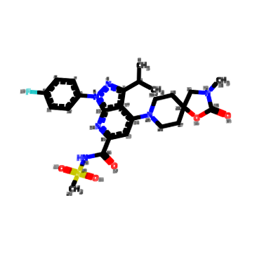 CC(C)c1nn(-c2ccc(F)cc2)c2nc(C(=O)NS(C)(=O)=O)cc(N3CCC4(CC3)CN(C)C(=O)O4)c12